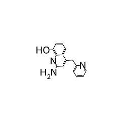 Nc1cc(Cc2ccccn2)c2cccc(O)c2n1